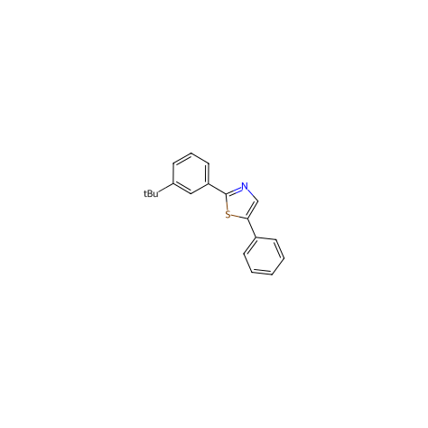 CC(C)(C)c1cccc(-c2ncc(-c3ccccc3)s2)c1